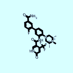 C[C@@H]1CN(c2ccc(-c3cc(C(N)=O)ccc3F)cc2NC(=O)c2c[nH]c(=O)cc2C(F)(F)F)C[C@H](C)N1C